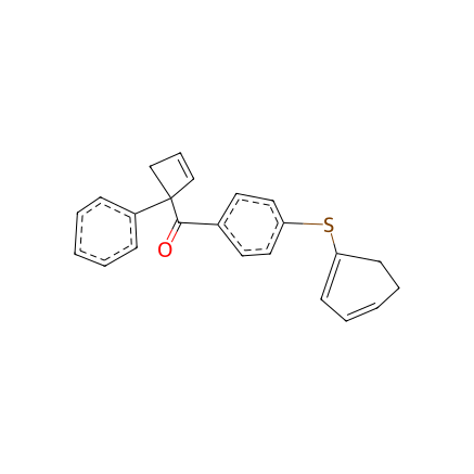 O=C(c1ccc(SC2=CC=CCC2)cc1)C1(c2ccccc2)C=CC1